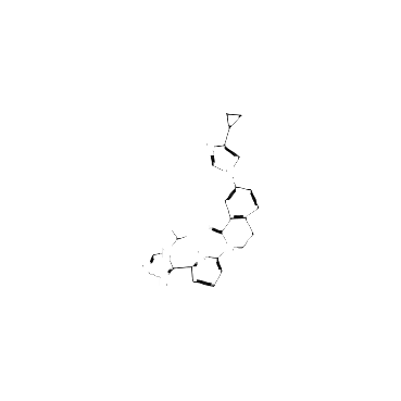 CC(n1cnnc1-c1cccc(N2CCc3ccc(-n4cnc(C5CC5)c4)cc3C2=O)n1)C(F)(F)F